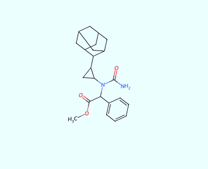 COC(=O)C(c1ccccc1)N(C(N)=O)C1CC1C1C2CC3CC(C2)CC1C3